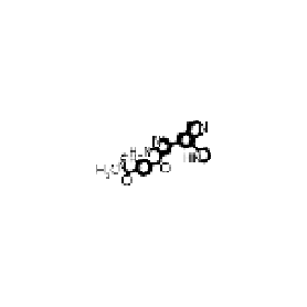 CN(C)C(=O)c1ccc(C(=O)c2cc(-c3cc(C4CCCN4)c4cnccc4c3)cnc2N)cc1